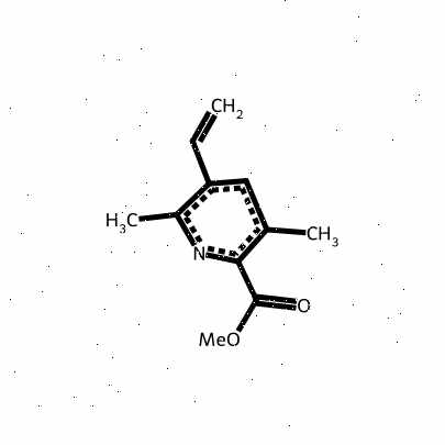 C=Cc1cc(C)c(C(=O)OC)nc1C